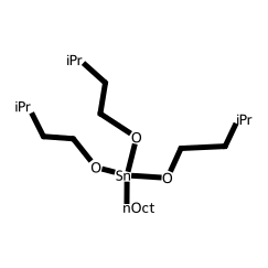 CCCCCCC[CH2][Sn]([O]CCC(C)C)([O]CCC(C)C)[O]CCC(C)C